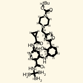 BC(B)(B)NC(=O)c1nnc(NC(=O)C2CC2)cc1Nc1cccc(-c2nc(CN3CCN(C(=O)OC(C)(C)C)CC3)no2)c1OC